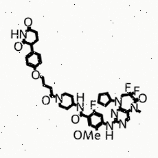 COc1cc(C(=O)NC2CCN(C(=O)CCCOc3ccc(C4CCC(=O)NC4=O)cc3)CC2)c(F)cc1Nc1ncc2c(n1)N(C1CCCC1)CC(F)(F)C(=O)N2C